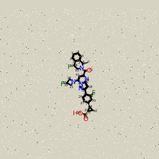 C[C@@H]1c2ccccc2[C@@H](F)CN1C(=O)c1cc(N2CC(F)C2)n2nc(-c3ccc([C@H]4C[C@@H]4C(=O)O)cc3F)cc2n1